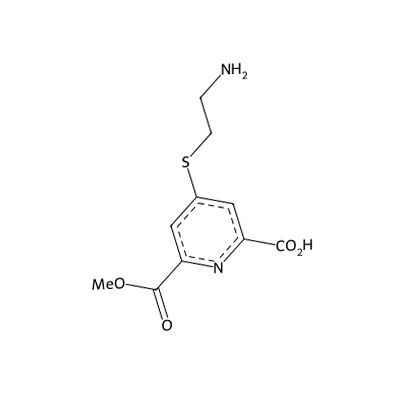 COC(=O)c1cc(SCCN)cc(C(=O)O)n1